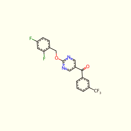 O=C(c1cnc(OCc2ccc(F)cc2F)nc1)c1cccc(C(F)(F)F)c1